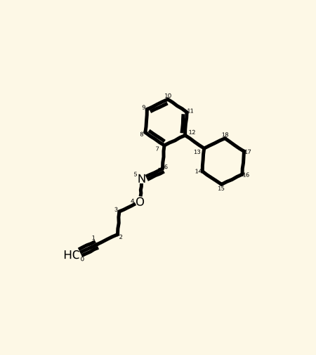 C#CCCON=[C]c1ccccc1C1CCCCC1